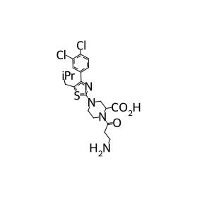 CC(C)Cc1sc(N2CCN(C(=O)CCN)C(C(=O)O)C2)nc1-c1ccc(Cl)c(Cl)c1